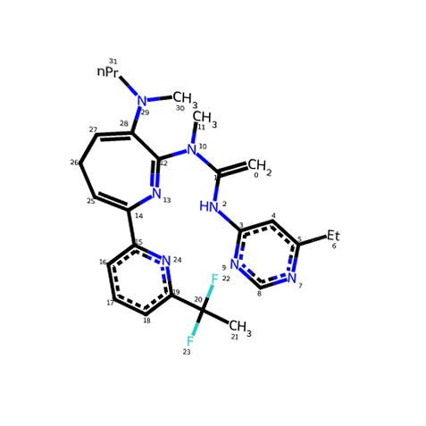 C=C(Nc1cc(CC)ncn1)N(C)C1=NC(c2cccc(C(C)(F)F)n2)=CCC=C1N(C)CCC